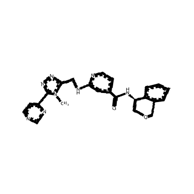 Cn1c(CNc2cc(C(=O)N[C@@H]3COCc4ccccc43)ccn2)nnc1-c1ccncn1